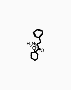 CC1(C(=O)[C@@H](N)Cc2ccccc2)CCCCC1